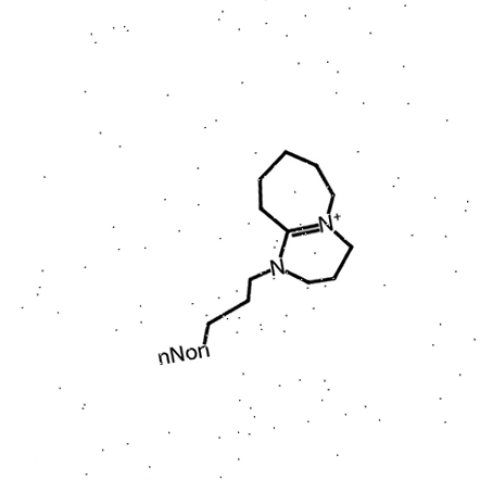 CCCCCCCCCCCCN1CCC[N+]2=C1CCCCC2